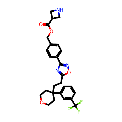 O=C(OCc1ccc(-c2noc(CCC3(c4cccc(C(F)(F)F)c4)CCOCC3)n2)cc1)C1CNC1